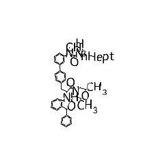 CCCCCCCNC(=O)N(C)c1cccc(-c2ccc(CC(Nc3ccccc3C(=O)c3ccccc3)C(=O)N3CC(C)OC(C)C3)cc2)c1